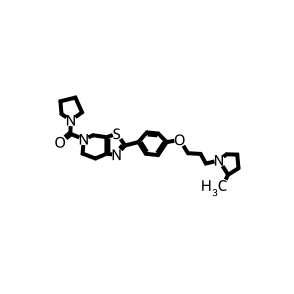 CC1CCCN1CCCOc1ccc(-c2nc3c(s2)CN(C(=O)N2CCCC2)CC3)cc1